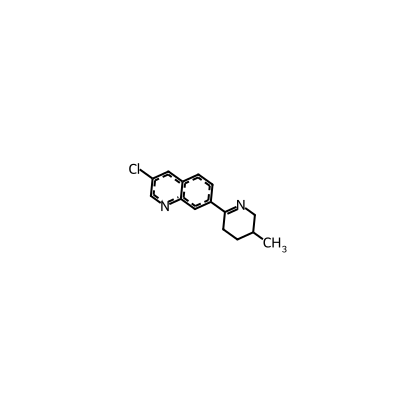 CC1CCC(c2ccc3cc(Cl)cnc3c2)=NC1